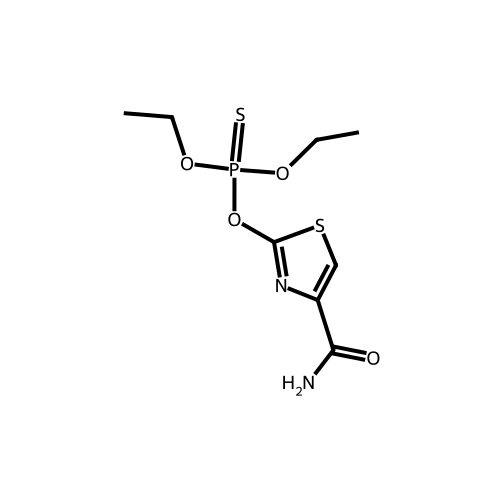 CCOP(=S)(OCC)Oc1nc(C(N)=O)cs1